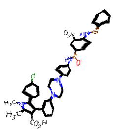 Cc1c(C(=O)O)c(-c2cccc(N3CCN(c4ccc(N[S+]([O-])c5ccc(NSc6ccccc6)c([N+](=O)[O-])c5)cc4)CC3)c2)c(-c2ccc(Cl)cc2)n1C